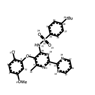 COc1ccc(Cl)c(Oc2c(C)nc(-c3ncccn3)nc2NS(=O)(=O)c2ccc(C(C)(C)C)cc2)c1